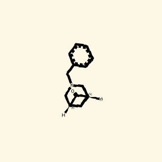 O=C1[C@@H]2C[C@H]1CN(Cc1ccccc1)C2